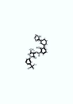 CC1=NN(c2cccc(C(F)(F)F)c2)C(=O)C1=NNc1cccc(C2CCCC(c3nnn[nH]3)C2)c1O